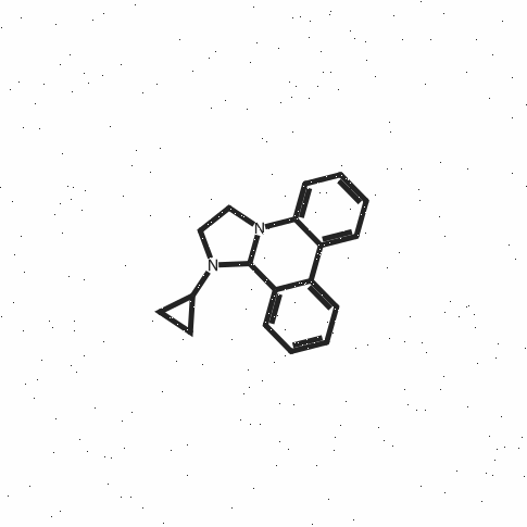 c1ccc2c(c1)-c1ccccc1N1CCN(C3CC3)C21